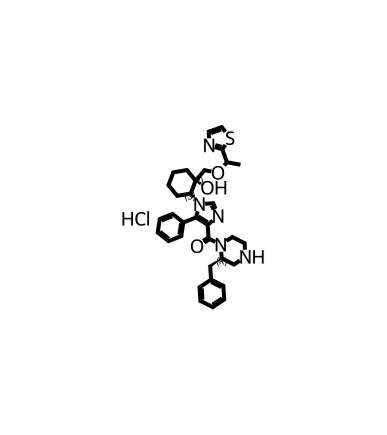 CC(OC[C@@]1(O)CCCC[C@@H]1n1cnc(C(=O)N2CCNC[C@H]2Cc2ccccc2)c1-c1ccccc1)c1nccs1.Cl